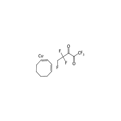 C1=CCCCCC=C1.O=C(C(=O)C(F)(F)CF)C(F)(F)F.[Cu]